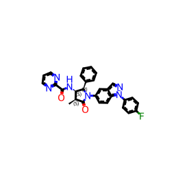 C[C@@H]1C(=O)N(c2ccc3c(cnn3-c3ccc(F)cc3)c2)[C@H](c2ccccc2)[C@H]1NC(=O)c1ncccn1